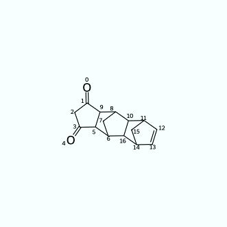 O=C1CC(=O)C2C3CC(C12)C1C2C=CC(C2)C31